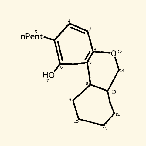 CCCCCc1ccc2c(c1O)C1CCCCC1CO2